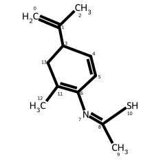 C=C(C)C1C=CC(/N=C(/C)S)=C(C)C1